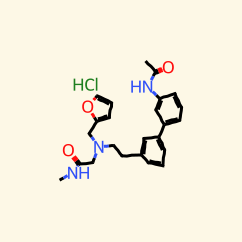 CNC(=O)CN(CCc1cccc(-c2cccc(NC(C)=O)c2)c1)Cc1ccco1.Cl